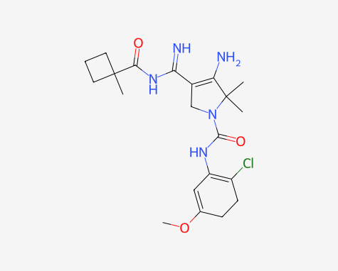 COC1=CC(NC(=O)N2CC(C(=N)NC(=O)C3(C)CCC3)=C(N)C2(C)C)=C(Cl)CC1